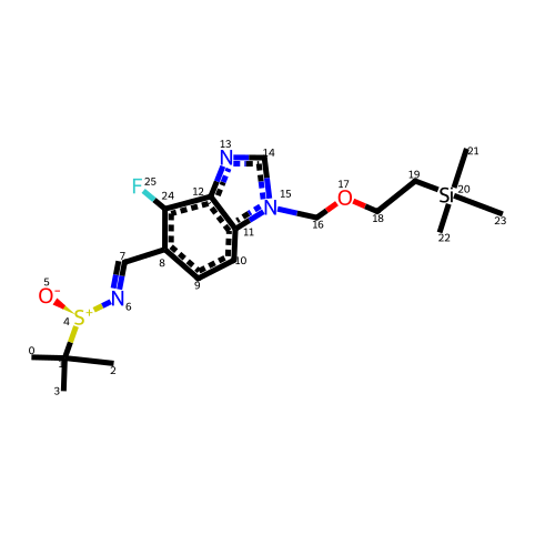 CC(C)(C)[S@@+]([O-])/N=C/c1ccc2c(ncn2COCC[Si](C)(C)C)c1F